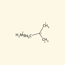 C[C](C)C.[MgH2]